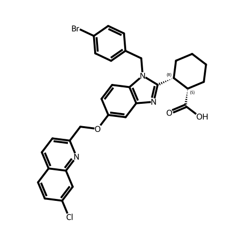 O=C(O)[C@H]1CCCC[C@H]1c1nc2cc(OCc3ccc4ccc(Cl)cc4n3)ccc2n1Cc1ccc(Br)cc1